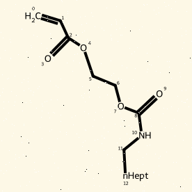 C=CC(=O)OCCOC(=O)NCCCCCCCC